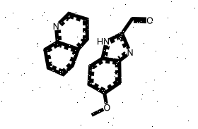 COc1ccc2[nH]c(C=O)nc2c1.c1ccc2ncccc2c1